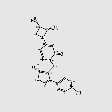 Cc1onc(-c2ccc(Cl)nc2)c1Cn1ncc(N2C[C@@H](O)[C@H]2C)cc1=O